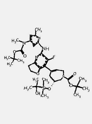 Cc1cc(N(C)C(=O)OC(C)(C)C)cc(Nc2nc3c(c(C4=CCN(C(=O)OC(C)(C)C)C[C@H](O[Si](C)(C)C(C)(C)C)C4)c2F)OCC3)n1